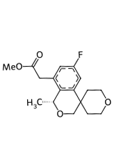 COC(=O)Cc1cc(F)cc2c1[C@@H](C)OCC21CCOCC1